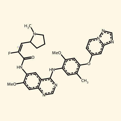 COc1cc2ncnc(Nc3cc(C)c(Oc4ccn5ncnc5c4)cc3OC)c2cc1NC(=O)/C(F)=C\C1CCCN1C